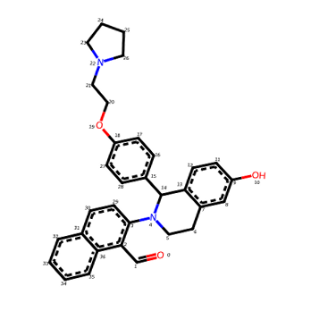 O=Cc1c(N2CCc3cc(O)ccc3C2c2ccc(OCCN3CCCC3)cc2)ccc2ccccc12